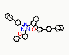 c1ccc2c(c1)cc(-c1nc(-c3ccc(C45CC6CC(CC(C6)C4)C5)cc3)nc(-c3cccc4c3oc3ccccc34)n1)c1oc3ccc(-c4ccc(C56CC7CC(CC(C7)C5)C6)cc4)cc3c12